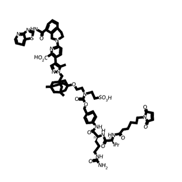 Cc1c(-c2ccc(N3CCc4cccc(C(=O)Nc5nc6ncccc6s5)c4C3)nc2C(=O)O)cnn1CC12CC3(C)CC(C)(C1)CC(OCCN(CCS(=O)(=O)O)C(=O)OCc1ccc(NC(=O)[C@H](CCCNC(N)=O)NC(=O)[C@@H](NC(=O)CCCCCN4C(=O)C=CC4=O)C(C)C)cc1)(C3)C2